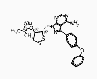 CC(C)(C)[Si](C)(C)O[C@@H]1CSS[C@H]1Cn1nc(-c2ccc(Oc3ccccc3)cc2)c2c(N)ncnc21